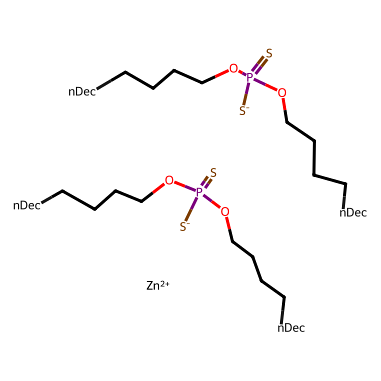 CCCCCCCCCCCCCCOP(=S)([S-])OCCCCCCCCCCCCCC.CCCCCCCCCCCCCCOP(=S)([S-])OCCCCCCCCCCCCCC.[Zn+2]